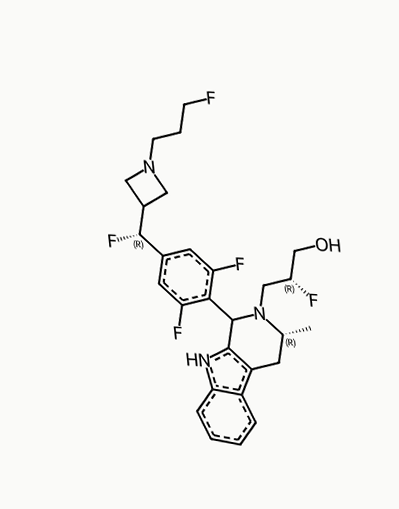 C[C@@H]1Cc2c([nH]c3ccccc23)C(c2c(F)cc([C@H](F)C3CN(CCCF)C3)cc2F)N1C[C@@H](F)CO